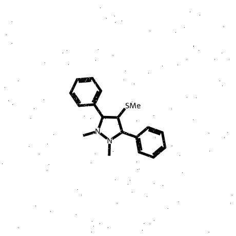 CSC1C(c2ccccc2)N(C)N(C)C1c1ccccc1